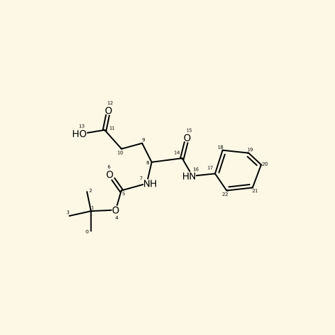 CC(C)(C)OC(=O)NC(CCC(=O)O)C(=O)Nc1ccccc1